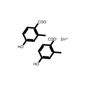 Cc1cc(O)ccc1C(=O)[O-].Cc1cc(O)ccc1C(=O)[O-].[Zn+2]